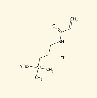 C=CC(=O)NCCC[N+](C)(C)CCCCCC.[Cl-]